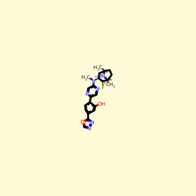 CN(c1cnc(-c2ccc(-c3nnco3)cc2O)cn1)[C@H]1C[C@]2(C)CC[C@@](C)(N2)[C@H]1F